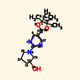 CC1(C)OB(c2cnc(N3CCCC(O)C3)nc2)OC1(C)C